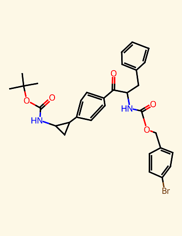 CC(C)(C)OC(=O)NC1CC1c1ccc(C(=O)C(Cc2ccccc2)NC(=O)OCc2ccc(Br)cc2)cc1